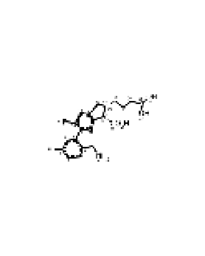 NCc1ccc(F)cc1-c1cc2c(cc1F)C[C@H](CCCB(O)O)[C@@H]2C(=O)O